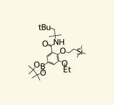 CCOc1cc(B2OC(C)(C)C(C)(C)O2)cc(C(=O)NC(C)(C)CC(C)(C)C)c1OCC[Si](C)(C)C